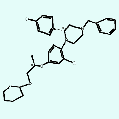 C[C@H](COC1CCCCO1)Oc1ccc(N2CCN(Cc3ccccc3)C[C@H]2c2ccc(Cl)cc2)c(Cl)c1